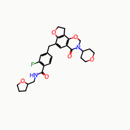 O=C(NCC1CCCO1)c1ccc(Cc2cc3c(c4c2OCC4)OCN(C2CCOCC2)C3=O)cc1F